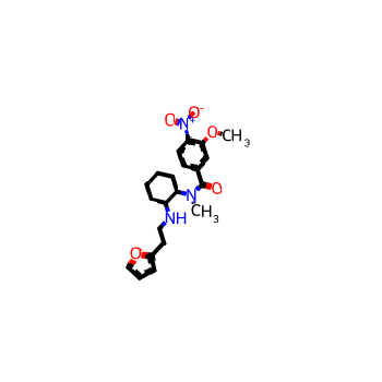 COc1cc(C(=O)N(C)C2CCCCC2NCCc2ccco2)ccc1[N+](=O)[O-]